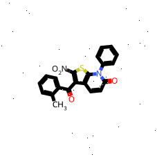 Cc1ccccc1C(=O)c1c([N+](=O)[O-])sc2c1ccc(=O)n2-c1ccccc1